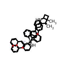 C=C(C1=CC=CC(c2ccc(C3NN3/C(=C/C3C=CC=CC3)Cc3ccccc3)cc2)C1)[C@@]1(C)CCC1Nc1ccc(C2C=CC=C3C2c2ccccc2N3C2C=CC=CC2)cc1